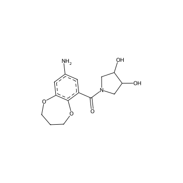 Nc1cc2c(c(C(=O)N3CC(O)C(O)C3)c1)OCCCO2